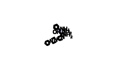 NC(N)=C(/C=C(\N)c1ccccc1O)c1cc(N2CCN(C3CCCCC3)CC2)ccn1